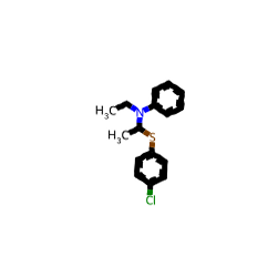 CCN(c1ccccc1)C(C)Sc1ccc(Cl)cc1